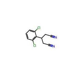 N#CCC(CC#N)c1c(Cl)cccc1Cl